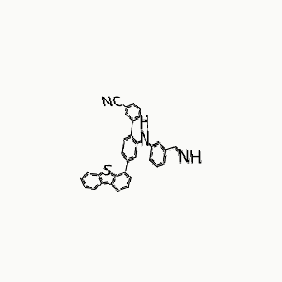 N#Cc1cccc(-c2ccc(-c3cccc4c3sc3ccccc34)cc2Nc2cccc(C=N)c2)c1